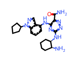 NC(=O)c1nnc(N[C@@H]2CCCC[C@@H]2N)nc1Nc1cccc2c1cnn2C1CCCC1